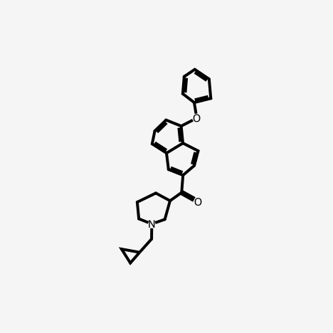 O=C(c1ccc2c(Oc3ccccc3)cccc2c1)C1CCCN(CC2CC2)C1